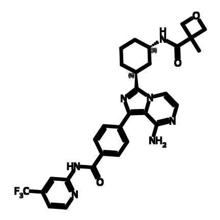 CC1(C(=O)N[C@H]2CCC[C@H](c3nc(-c4ccc(C(=O)Nc5cc(C(F)(F)F)ccn5)cc4)c4c(N)nccn34)C2)COC1